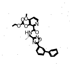 CCOC(=O)Oc1c(OC)ccnc1C(=O)N[C@@H](C)c1noc(-c2cccc(-c3ccccc3)c2)n1